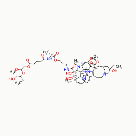 C=C(/C=C1\C(=C/COC)N(C)C2[C@]13CCN1CC=C[C@](CC)(C13)[C@@H](O)[C@]2(O)C(=O)NCCCOC(=O)[C@@H](C)NC(=O)CCCC(=O)OCC(OC)OC(CC)CO)[C@@]1(C(=O)OC)CC2C[N@](CCc3c1[nH]c1ccccc31)CC(O)(CC)C2